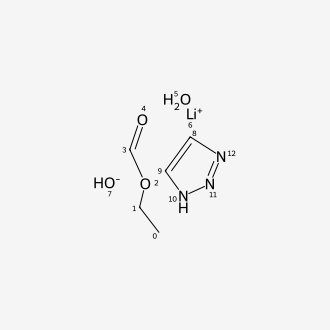 CCOC=O.O.[Li+].[OH-].c1c[nH]nn1